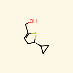 OCC1=CC[C@H](C2CC2)S1